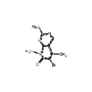 CSc1ncc2c(C)c(Br)c(=O)n(C)c2n1